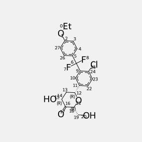 CCOc1ccc(C(F)(F)c2cc([C@H]3C[C@@H](O)C(=O)[C@@H](CO)O3)ccc2Cl)cc1